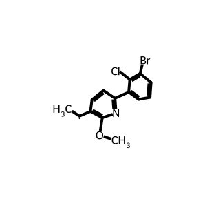 C[CH]c1ccc(-c2cccc(Br)c2Cl)nc1OC